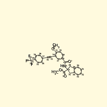 COC(=O)C1(NC(=O)c2ccc(OC)c(C#Cc3ccc(C(F)(F)F)cc3)c2)Cc2ccccc2C1